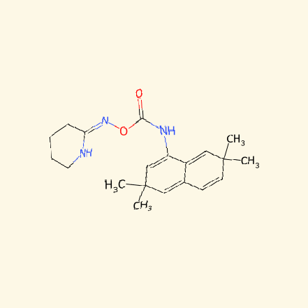 CC1(C)C=C2C=CC(C)(C)C=C2C(NC(=O)ON=C2CCCCN2)=C1